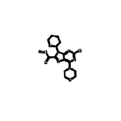 COC(=O)c1nc2c(N3CCOCC3)nc(Cl)nc2n1C1CCCCO1